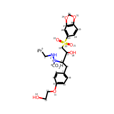 CC(C)CNN(C(=O)O)C(Cc1ccc(OCCO)cc1)C(O)CS(=O)(=O)c1ccc2c(c1)OCO2